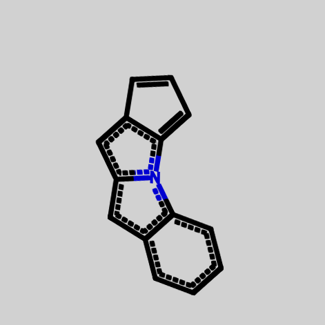 C1=Cc2cc3cc4ccccc4n3c2=C1